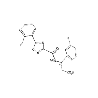 O=C(O)C[C@H](NC(=O)c1noc(-c2ccccc2F)n1)c1cccc(F)c1